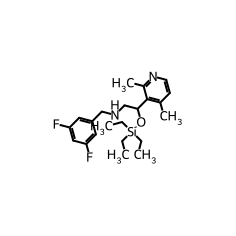 CC[Si](CC)(CC)OC(CNCc1cc(F)cc(F)c1)c1c(C)ccnc1C